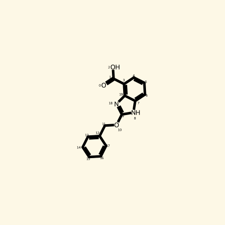 O=C(O)c1cccc2[nH]c(OCc3ccccc3)nc12